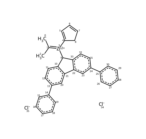 C[C](C)=[Zr+2]([C]1=CC=CC1)[CH]1c2ccc(-c3ccccc3)cc2-c2cc(-c3ccccc3)ccc21.[Cl-].[Cl-]